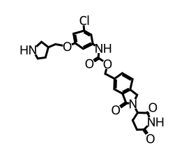 O=C1CCC(N2Cc3ccc(COC(=O)Nc4cc(Cl)cc(OCC5CCNC5)c4)cc3C2=O)C(=O)N1